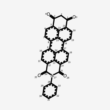 O=C1CC(=O)c2ccc3c4ccc5c6c(ccc(c7ccc1c2c73)c64)C(=O)N(c1ccccc1)C5=O